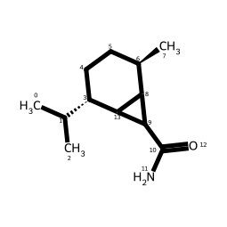 CC(C)[C@@H]1CC[C@@H](C)C2C(C(N)=O)C21